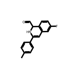 Cc1ccc(C2=Cc3cc(F)ccc3C(C=O)N2)cc1